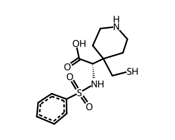 O=C(O)[C@@H](NS(=O)(=O)c1ccccc1)C1(CS)CCNCC1